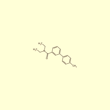 CCN(CC)C(=O)c1cccc(-c2ccc(C)cc2)c1